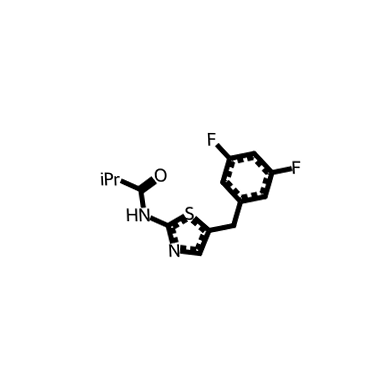 CC(C)C(=O)Nc1ncc(Cc2cc(F)cc(F)c2)s1